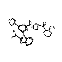 CN1CCCCC1C(=O)N1CC[C@H](Nc2nc(N3CCOCC3)cc(-n3c(C(F)F)nc4ccccc43)n2)C1